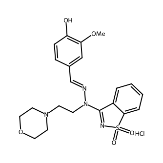 COc1cc(/C=N/N(CCN2CCOCC2)C2=NS(=O)(=O)c3ccccc32)ccc1O.Cl